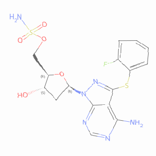 Nc1ncnc2c1c(Sc1ccccc1F)nn2[C@H]1C[C@H](O)[C@@H](COS(N)(=O)=O)O1